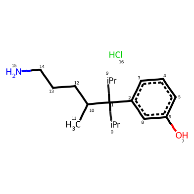 CC(C)C(c1cccc(O)c1)(C(C)C)C(C)CCCN.Cl